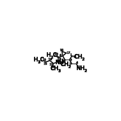 C=CC(CCN)C(=C)C1(C(=C)NC(C)CCC)CC1